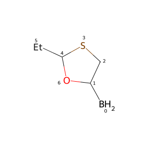 BC1CSC(CC)O1